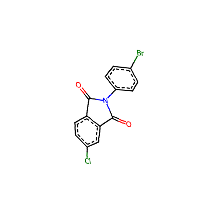 O=C1c2ccc(Cl)cc2C(=O)N1c1ccc(Br)cc1